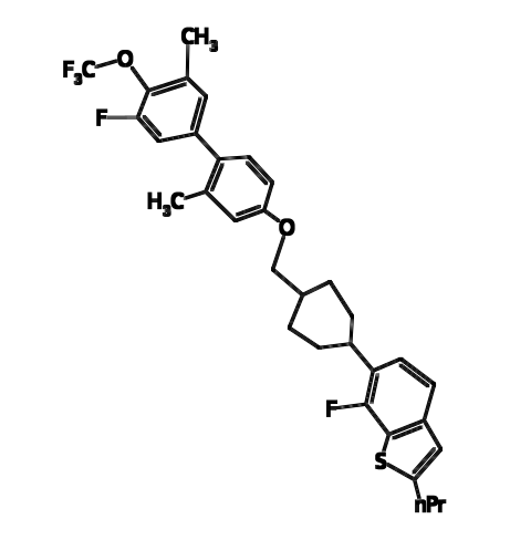 CCCc1cc2ccc(C3CCC(COc4ccc(-c5cc(C)c(OC(F)(F)F)c(F)c5)c(C)c4)CC3)c(F)c2s1